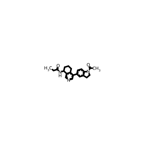 CCC(=O)NC1CCCc2c(-c3ccc4c(c3)CCN4C(C)=O)cncc21